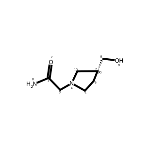 NC(=O)CN1CC[C@@H](CO)C1